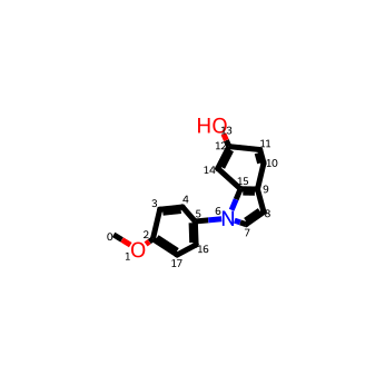 COc1ccc(-n2ccc3ccc(O)cc32)cc1